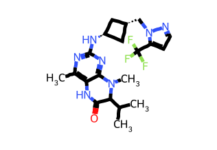 Cc1nc(N[C@H]2C[C@@H](Cn3nccc3C(F)(F)F)C2)nc2c1NC(=O)C(C(C)C)N2C